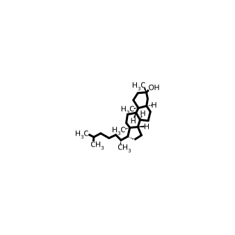 CC(C)CCC[C@@H](C)[C@H]1CC[C@H]2[C@@H]3CC[C@@H]4C[C@@](C)(O)CC[C@]4(C)[C@H]3CC[C@]12C